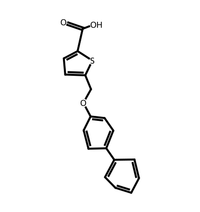 O=C(O)c1ccc(COc2ccc(-c3ccccc3)cc2)s1